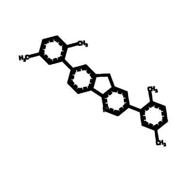 Cc1ccc(C)c(-c2ccc3c(c2)Cc2cc(-c4cc(C)ccc4C)cnc2-3)c1